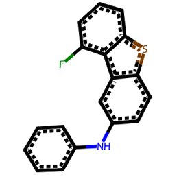 Fc1cccc2sc3ccc(Nc4ccccc4)cc3c12